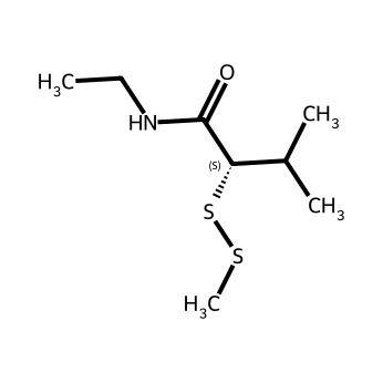 CCNC(=O)[C@@H](SSC)C(C)C